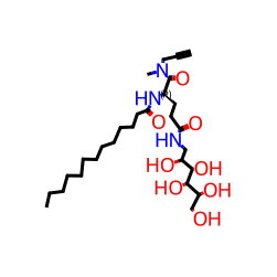 C#CCN(C)C(=O)[C@@H](CCC(=O)NCC(O)C(O)C(O)C(O)CO)NC(=O)CCCCCCCCCCCC